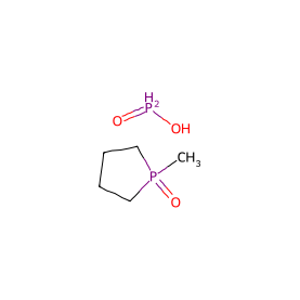 CP1(=O)CCCC1.O=[PH2]O